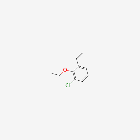 C=Cc1cccc(Cl)c1OCC